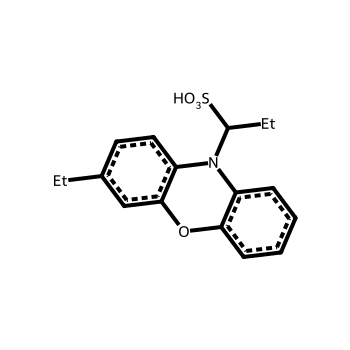 CCc1ccc2c(c1)Oc1ccccc1N2C(CC)S(=O)(=O)O